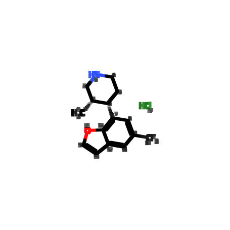 C[C@@H]1CNCC[C@@H]1c1cc(C(F)(F)F)cc2ccoc12.Cl